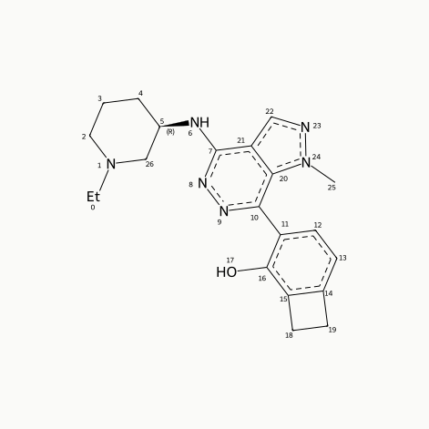 CCN1CCC[C@@H](Nc2nnc(-c3ccc4c(c3O)CC4)c3c2cnn3C)C1